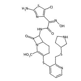 Nc1nc(/C(=N/O)C(=O)NC2C(=O)N3C(C(=O)O)=C(Sc4cccnc4CSC4CCNC4)CCC23)c(Cl)s1